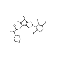 CN(C(=O)Cc1c2n(c(=S)n1C)CC(c1c(F)ccc(F)c1F)C2)C1CCOCC1